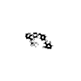 CC(C)OC(=O)c1cccnc1N1CCN(Cc2ccc(OCc3c(F)cccc3F)cc2)CC1